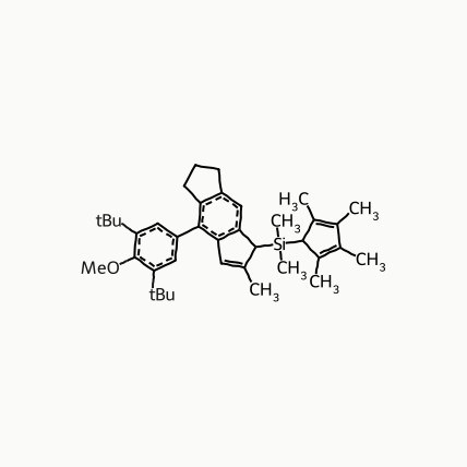 COc1c(C(C)(C)C)cc(-c2c3c(cc4c2CCC4)C([Si](C)(C)C2C(C)=C(C)C(C)=C2C)C(C)=C3)cc1C(C)(C)C